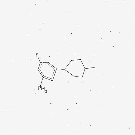 CC1CCC(c2cc(F)cc(P)c2)CC1